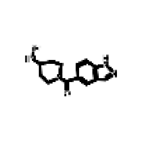 CC(C)NC1CCN(C(=O)c2ccc3[nH]ncc3c2)CC1